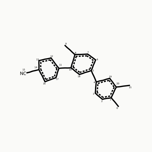 Cc1ccc(-c2ccc(C)c(-c3ccc(C#N)cc3)c2)cc1C